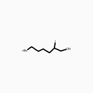 CCCCCCCCC(I)CO